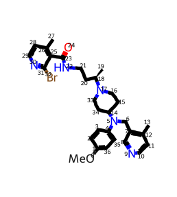 COc1ccc(N(Cc2cnccc2C)C2CCN([C@H](C)CCNC(=O)c3c(C)ccnc3Br)CC2)cc1